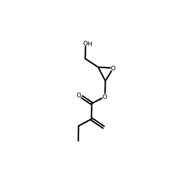 C=C(CC)C(=O)OC1OC1CO